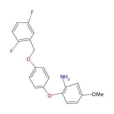 COc1ccc(Oc2ccc(OCc3cc(F)ccc3F)cc2)c(N)c1